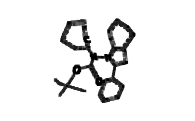 CC(C)(C)OC(=O)N(c1ccccc1)n1c(-c2ccccc2)cc2ccccc21